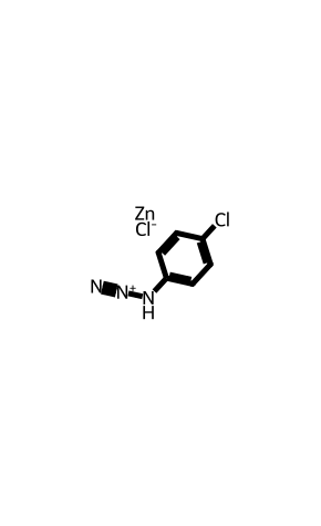 N#[N+]Nc1ccc(Cl)cc1.[Cl-].[Zn]